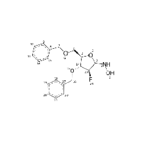 ONC1O[C@H](COCc2ccccc2)[C@@H](OCc2ccccc2)[C@@H]1F